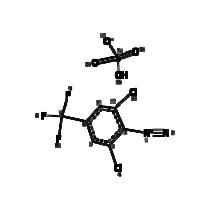 N#[N+]c1c(Cl)cc(C(F)(F)F)cc1Cl.O=S(=O)([O-])O